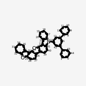 c1ccc(-c2cc(-c3ccccc3)cc(-n3c4ccccc4c4c5oc6c(ccc7oc8ccccc8c76)c5ccc43)c2)cc1